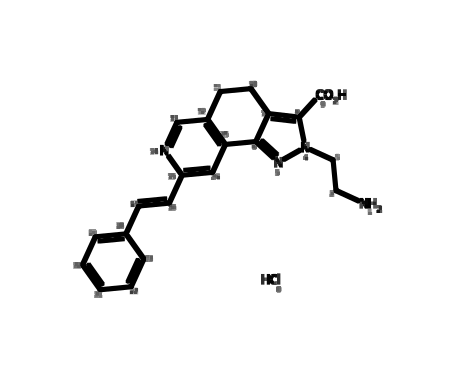 Cl.NCCn1nc2c(c1C(=O)O)CCc1cnc(C=Cc3ccccc3)cc1-2